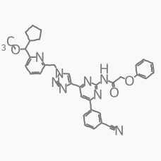 COC(c1cccc(Cn2cc(-c3cc(-c4cccc(C#N)c4)nc(NC(=O)COc4ccccc4)n3)nn2)n1)C1CCCC1